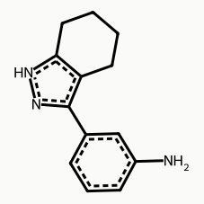 Nc1cccc(-c2n[nH]c3c2CCCC3)c1